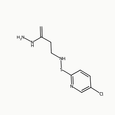 C=C(CCNSc1ccc(Cl)cn1)NN